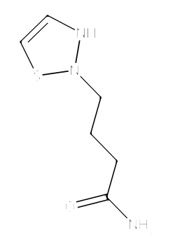 NC(=O)CCCN1NC=CS1